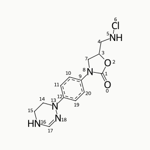 O=C1OC(CNCl)CN1c1ccc(N2CCNC=N2)cc1